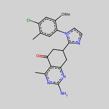 COc1cc(Cl)c(C)cc1-n1ccnc1C1CC(=O)c2c(C)nc(N)nc2C1